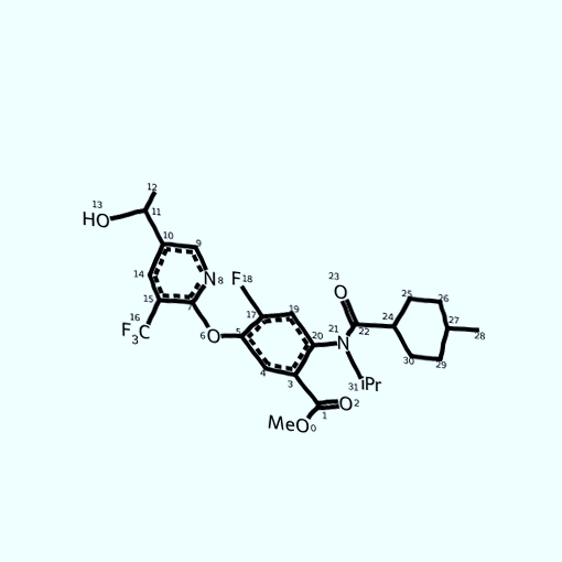 COC(=O)c1cc(Oc2ncc(C(C)O)cc2C(F)(F)F)c(F)cc1N(C(=O)C1CCC(C)CC1)C(C)C